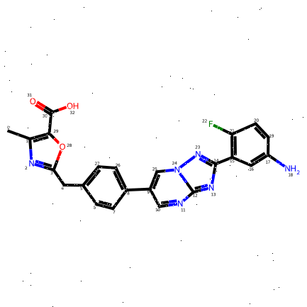 Cc1nc(Cc2ccc(-c3cnc4nc(-c5cc(N)ccc5F)nn4c3)cc2)oc1C(=O)O